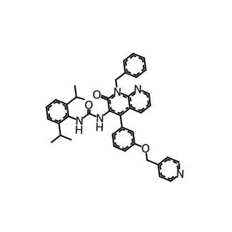 CC(C)c1cccc(C(C)C)c1NC(=O)Nc1c(-c2cccc(OCc3ccncc3)c2)c2cccnc2n(Cc2ccccc2)c1=O